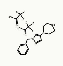 O=C(O)C(F)(F)F.O=C(O)C(F)(F)F.c1ccc(Cn2cc(N3CCNCC3)cn2)cc1